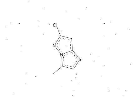 Cc1csc2cc(Cl)nn12